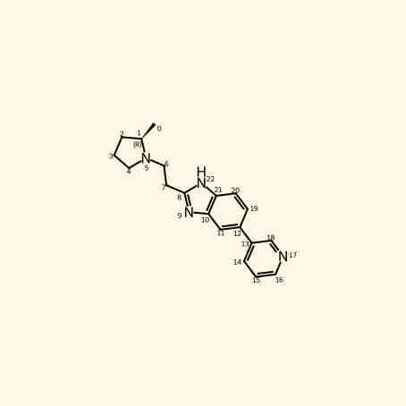 C[C@@H]1CCCN1CCc1nc2cc(-c3cccnc3)ccc2[nH]1